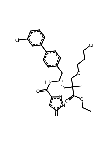 CCOC(=O)C(C)(COCCCO)C[C@@H](Cc1ccc(-c2cccc(Cl)c2)cc1)NC(=O)c1c[nH]nn1